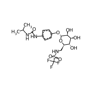 CC(C)NC(=O)Nc1ccc(O[C@H]2O[C@H](CNS(=O)(=O)C(F)(F)F)[C@@H](O)[C@H](O)[C@@H]2O)cc1